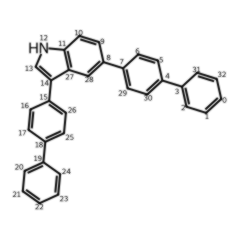 c1ccc(-c2ccc(-c3ccc4[nH]cc(-c5ccc(-c6ccccc6)cc5)c4c3)cc2)cc1